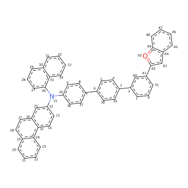 c1cc(-c2ccc(-c3ccc(N(c4ccc5c(ccc6ccccc65)c4)c4cccc5ccccc45)cc3)cc2)cc(-c2cc3ccccc3o2)c1